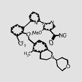 COc1c(C(=O)N=O)cnn1-c1cccc(-c2cccc(C(F)(F)F)c2OCc2ccc3c(c2C)CCN(C2CCOCC2)C3)n1